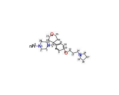 CCCN1CCN(CC2(c3ccc(OCCCN4CCCC4)cc3)CCOCC2)CC1